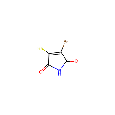 O=C1NC(=O)C(Br)=C1S